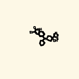 CCc1cc2cc(C(C3CCCCC3)N3CCC(O)(c4cncn4C)CC3)ccc2[nH]c1=O